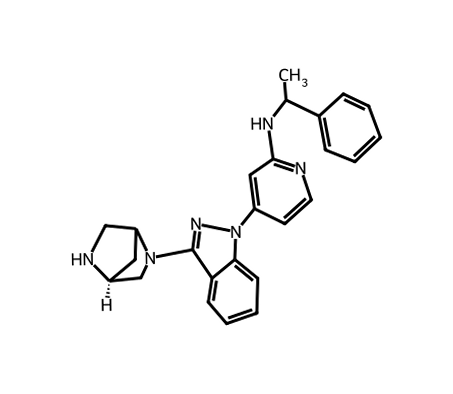 CC(Nc1cc(-n2nc(N3C[C@@H]4CC3CN4)c3ccccc32)ccn1)c1ccccc1